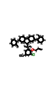 C=CCOc1c(Cl)cc(C(C)(C)C)cc1[Si](C)(C)C1c2cc(-c3ccccc3C)ccc2-c2ccc(-c3ccccc3C)cc21